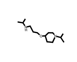 CC(C)NCCCOC1CCN(C(C)C)CC1